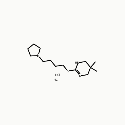 CC1(C)CN=C(SCCCCN2CCCC2)NC1.Cl.Cl